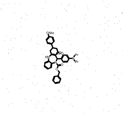 COc1ccc(C2CC(=O)C3=C(C2)Nc2ccccc2N(C(=O)OCc2ccccc2)C3c2ccc(N(C(C)C)C(C)C)cc2OC)cc1